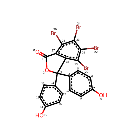 O=C1OC(c2ccc(O)cc2)(c2ccc(O)cc2)c2c(Br)c(Br)c(Br)c(Br)c21